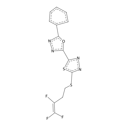 FC(F)=C(F)CCSc1nnc(-c2nnc(-c3ccccc3)o2)s1